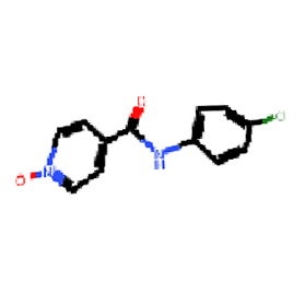 O=C(Nc1ccc(Cl)cc1)c1cc[n+]([O-])cc1